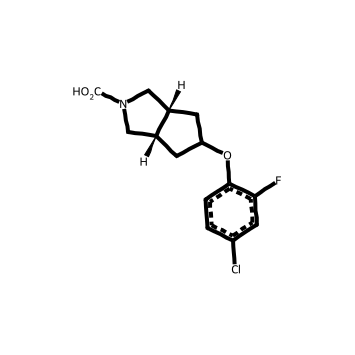 O=C(O)N1C[C@H]2CC(Oc3ccc(Cl)cc3F)C[C@H]2C1